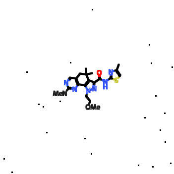 CNc1ncc2c(n1)-c1c(c(C(=O)Nc3nc(C)cs3)nn1CCOC)C(C)(C)C2